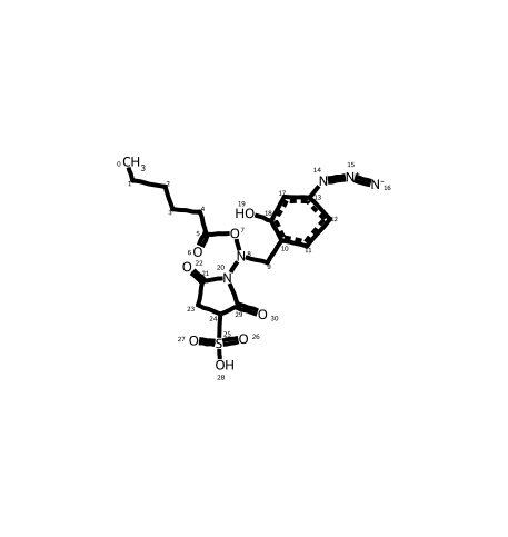 CCCCCC(=O)ON(Cc1ccc(N=[N+]=[N-])cc1O)N1C(=O)CC(S(=O)(=O)O)C1=O